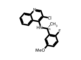 COc1ccc(F)c([C@@H](C)Nc2c(Cl)cnc3ccccc23)c1